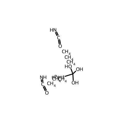 C.C.C.C.C.C.CCCCCC(O)(O)O.N=C=O.N=C=O